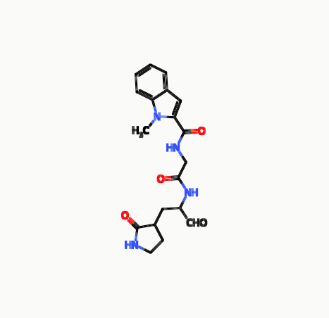 Cn1c(C(=O)NCC(=O)NC(C=O)CC2CCNC2=O)cc2ccccc21